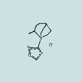 CC1CC2CC[N+]1(c1ncon1)CC2.[Cl-]